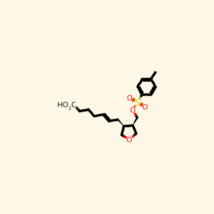 Cc1ccc(S(=O)(=O)OC[C@H]2COC[C@H]2CC=CCCCC(=O)O)cc1